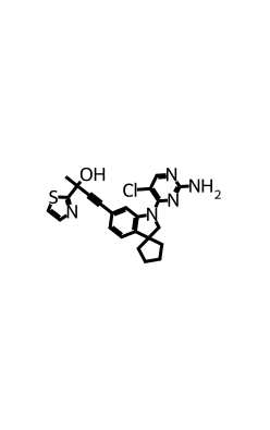 CC(O)(C#Cc1ccc2c(c1)N(c1nc(N)ncc1Cl)CC21CCCC1)c1nccs1